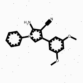 COc1cc(OC)cc(-c2cn(-c3ccccc3)c(N)c2C#N)c1